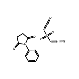 O=C1CCC(=O)N1c1ccccc1.[N-]=[N+]=NS(=O)(=O)N=[N+]=[N-]